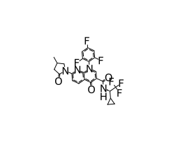 CC1CC(=O)N(c2ccc3c(=O)c(C(=O)N[C@H](C4CC4)C(F)(F)F)cn(-c4c(F)cc(F)cc4F)c3n2)C1